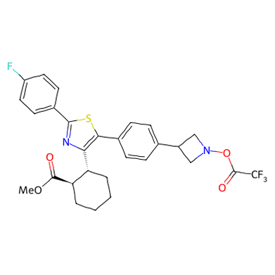 COC(=O)[C@@H]1CCCC[C@H]1c1nc(-c2ccc(F)cc2)sc1-c1ccc(C2CN(OC(=O)C(F)(F)F)C2)cc1